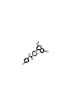 COc1cc(N2CCN(C(=O)Nc3ccc(F)cc3)CC2)c2ccc(Cl)cc2n1